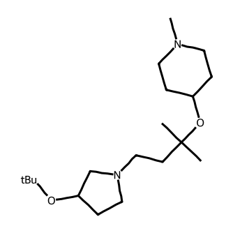 CN1CCC(OC(C)(C)CCN2CCC(OC(C)(C)C)C2)CC1